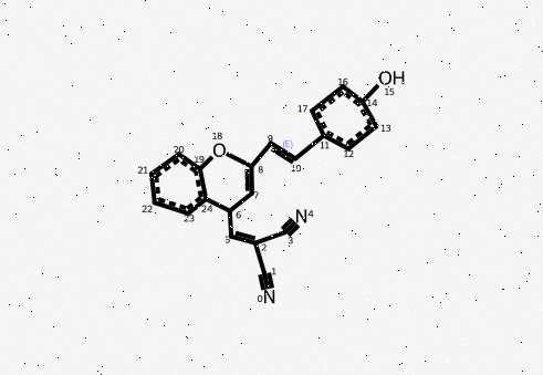 N#CC(C#N)=CC1C=C(/C=C/c2ccc(O)cc2)Oc2ccccc21